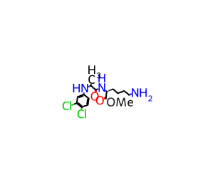 COC(=O)[C@H](CCCCN)NC(=O)C(C)Nc1ccc(Cl)c(Cl)c1